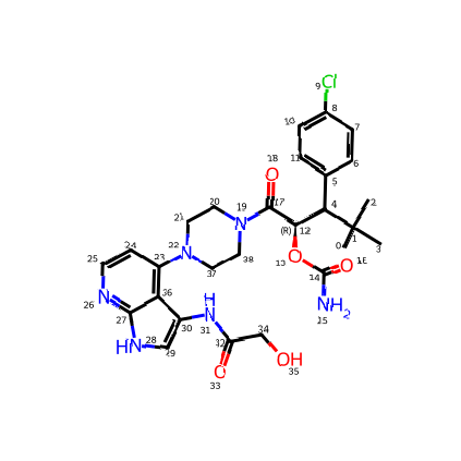 CC(C)(C)C(c1ccc(Cl)cc1)[C@@H](OC(N)=O)C(=O)N1CCN(c2ccnc3[nH]cc(NC(=O)CO)c23)CC1